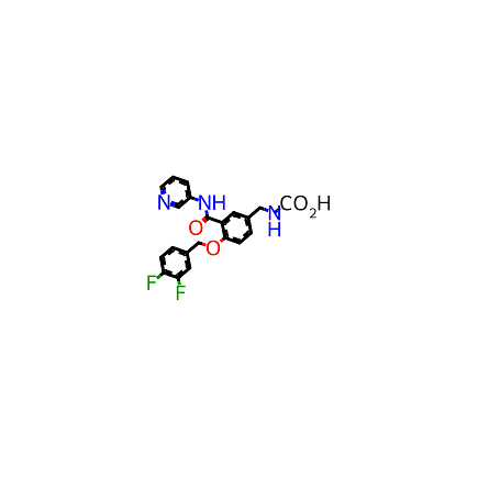 O=C(O)NCc1ccc(OCc2ccc(F)c(F)c2)c(C(=O)Nc2cccnc2)c1